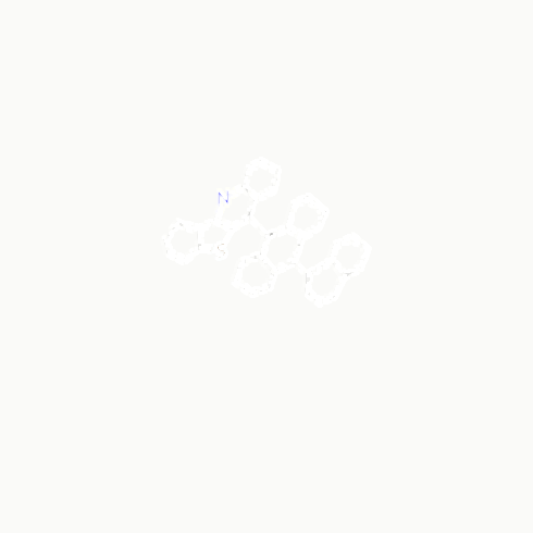 c1ccc2c(-c3c4ccccc4c(-c4c5ccccc5nc5c4sc4ccccc45)c4ccccc34)cccc2c1